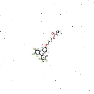 C=CC(=O)OCCCCOc1ccc(-c2cc(F)c(F)c(F)c2)c(-c2cc(F)c(F)c(F)c2)c1